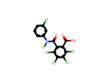 O=C(O)c1c(Cl)c(Cl)c(Cl)c(Cl)c1C(=O)N(Cl)c1cccc(Cl)c1